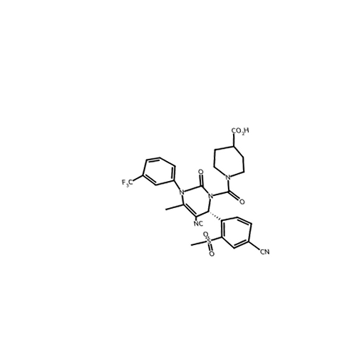 [C-]#[N+]C1=C(C)N(c2cccc(C(F)(F)F)c2)C(=O)N(C(=O)N2CCC(C(=O)O)CC2)[C@@H]1c1ccc(C#N)cc1S(C)(=O)=O